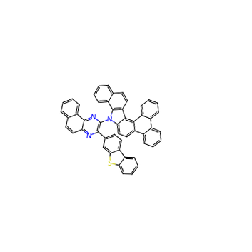 c1ccc2c(c1)ccc1nc(-c3ccc4c(c3)sc3ccccc34)c(-n3c4ccc5c6ccccc6c6ccccc6c5c4c4ccc5ccccc5c43)nc12